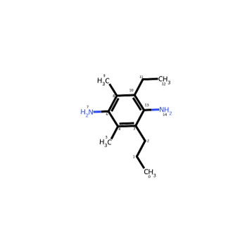 CCCc1c(C)c(N)c(C)c(CC)c1N